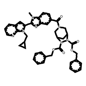 Cn1c(-c2cc3cccnc3n2CC2CC2)nc2cc(C(=O)N3CC4CC(C3)N(C(=O)OCc3ccccc3)N4C(=O)OCc3ccccc3)ccc21